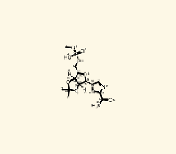 COP(=O)(O)OC[C@H]1O[C@@H](n2cnc(C(N)=O)n2)[C@@H]2OC(C)(C)O[C@@H]21